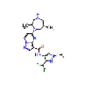 C[C@@H]1CNC[C@H](C)N(c2ccn3ncc(C(=O)Nc4cn(C)nc4C(F)F)c3n2)C1